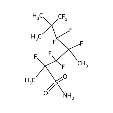 CC(C)(C(F)(F)F)C(F)(F)C(C)(F)C(F)(F)C(C)(F)S(N)(=O)=O